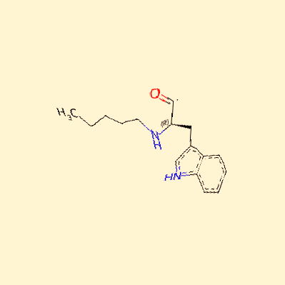 CCCCCN[C@@H]([C]=O)Cc1c[nH]c2ccccc12